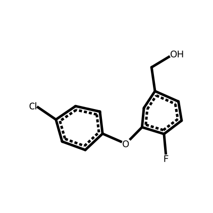 OCc1ccc(F)c(Oc2ccc(Cl)cc2)c1